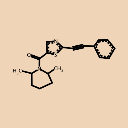 CC1CCCC(C)N1C(=O)c1cnc(C#Cc2ccccc2)s1